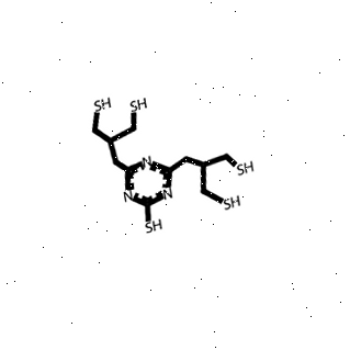 SCC(CS)Cc1nc(S)nc(CC(CS)CS)n1